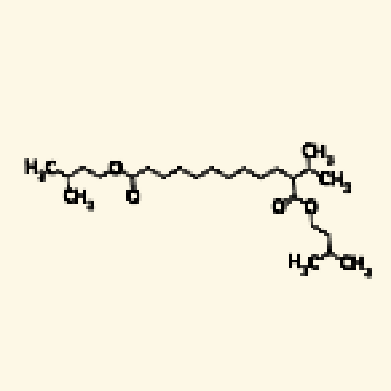 CC(C)CCOC(=O)CCCCCCCCCC(C(=O)OCCC(C)C)C(C)C